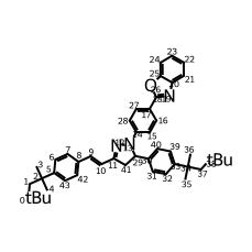 CC(C)(C)CC(C)(C)c1ccc(C=CC2=NN(c3ccc(-c4nc5ccccc5o4)cc3)C(c3ccc(C(C)(C)CC(C)(C)C)cc3)C2)cc1